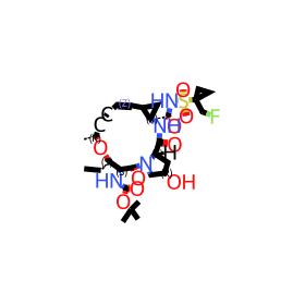 CC[C@@H]1O[C@H](C)CC/C=C\C2C[C@@]2(C(=O)NS(=O)(=O)C2(CF)CC2)NC(=O)[C@@H]2C[C@@H](O)CN2C(=O)[C@H]1NC(=O)OC(C)(C)C